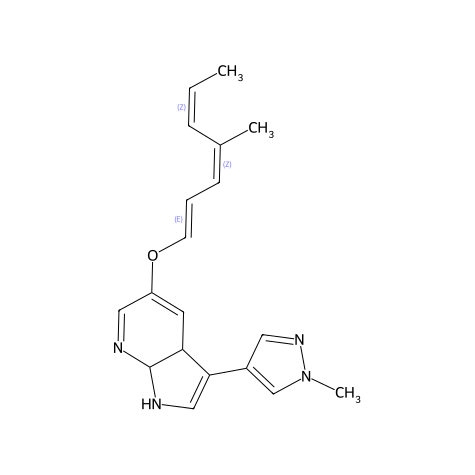 C\C=C/C(C)=C\C=C\OC1=CC2C(c3cnn(C)c3)=CNC2N=C1